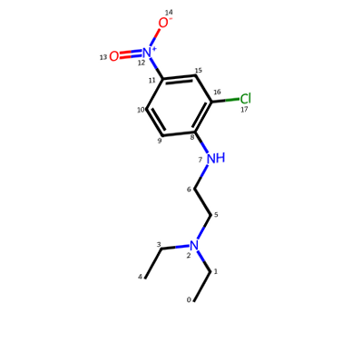 CCN(CC)CCNc1ccc([N+](=O)[O-])cc1Cl